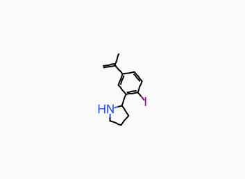 C=C(C)c1ccc(I)c(C2CCCN2)c1